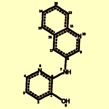 Oc1cccnc1Nc1cnc2ccccc2c1